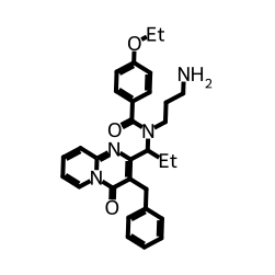 CCOc1ccc(C(=O)N(CCCN)C(CC)c2nc3ccccn3c(=O)c2Cc2ccccc2)cc1